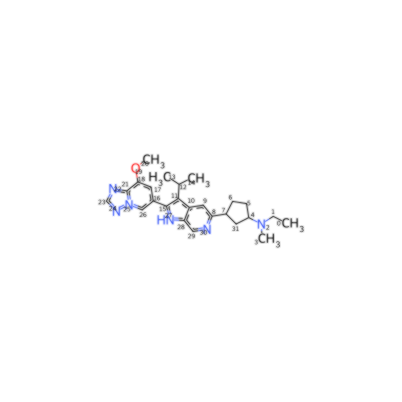 CCN(C)C1CCC(c2cc3c(C(C)C)c(-c4cc(OC)c5ncnn5c4)[nH]c3cn2)C1